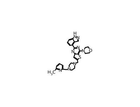 Cc1cccc(CN2CCN(Cc3cc4nc(-c5cccc6[nH]ncc56)nc(N5CCOCC5)c4s3)CC2)n1